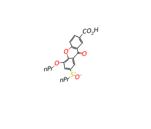 CCCOc1cc([S+]([O-])CCC)cc2c(=O)c3cc(C(=O)O)ccc3oc12